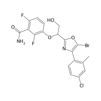 Cc1cc(Cl)ccc1-c1nc(C(CO)Oc2ccc(F)c(C(N)=O)c2F)oc1Br